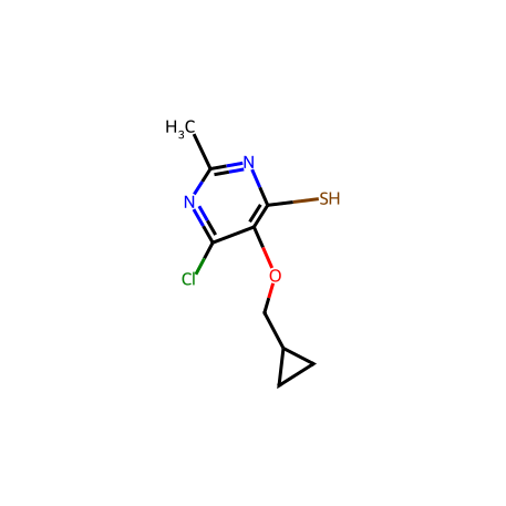 Cc1nc(S)c(OCC2CC2)c(Cl)n1